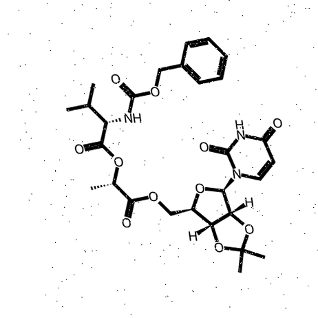 CC(C)[C@H](NC(=O)OCc1ccccc1)C(=O)O[C@@H](C)C(=O)OC[C@H]1O[C@@H](n2ccc(=O)[nH]c2=O)[C@@H]2OC(C)(C)O[C@@H]21